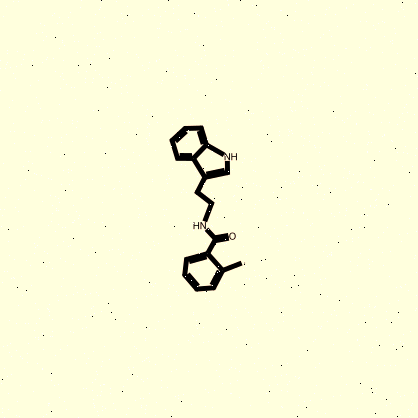 [CH2]c1ccccc1C(=O)NCCc1c[nH]c2ccccc12